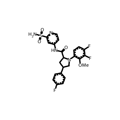 COc1c(N2CC(c3ccc(F)cc3)CC2C(=O)Nc2ccnc(S(N)(=O)=O)c2)ccc(F)c1F